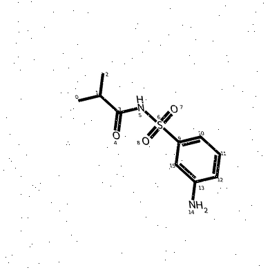 CC(C)C(=O)NS(=O)(=O)c1cccc(N)c1